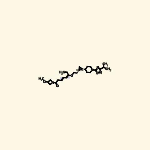 C=C/C(=C\C=C\CC(=O)N1CC(OC)C1)OCC[C@@H]1C[C@@H]1C1CCN(c2nc(C(C)C)no2)CC1